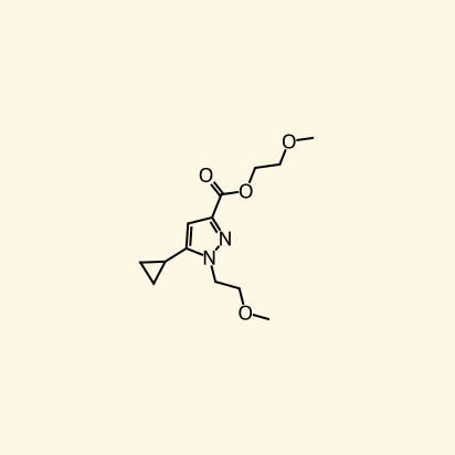 COCCOC(=O)c1cc(C2CC2)n(CCOC)n1